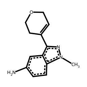 Cn1nc(C2=CCOCC2)c2cc(N)ccc21